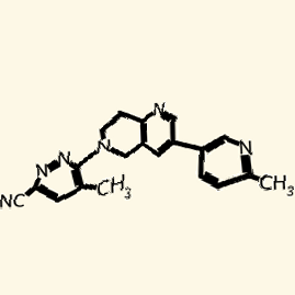 Cc1ccc(-c2cnc3c(c2)CN(c2nnc(C#N)cc2C)CC3)cn1